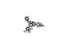 COc1ccc(CNc2nc(N3CCC4(CC3)CN(C)C4)ncc2C(=O)NCc2ccccc2)cc1Cl